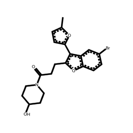 Cc1ccc(-c2c(CCC(=O)N3CCC(O)CC3)oc3ccc(Br)cc23)o1